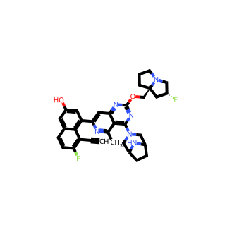 C#Cc1c(F)ccc2cc(O)cc(-c3cc4nc(OC[C@@]56CCCN5C[C@H](F)C6)nc(N5CC6CCC(C5)N6)c4c(C)n3)c12